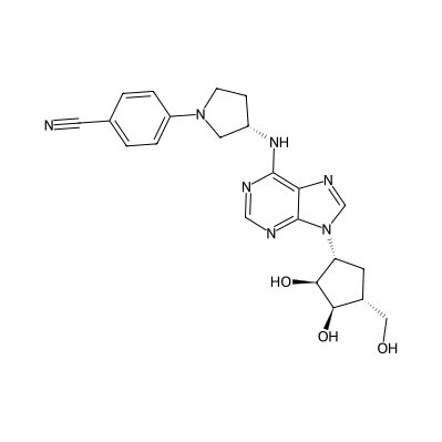 N#Cc1ccc(N2CC[C@H](Nc3ncnc4c3ncn4[C@@H]3C[C@H](CO)[C@@H](O)[C@H]3O)C2)cc1